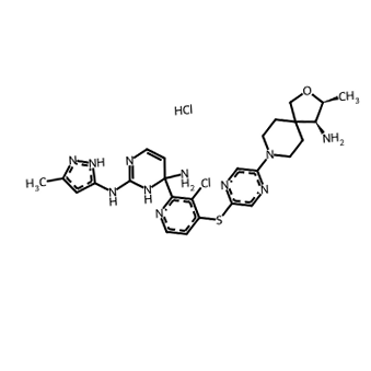 Cc1cc(NC2=NC=CC(N)(c3nccc(Sc4cnc(N5CCC6(CC5)CO[C@@H](C)[C@H]6N)cn4)c3Cl)N2)[nH]n1.Cl